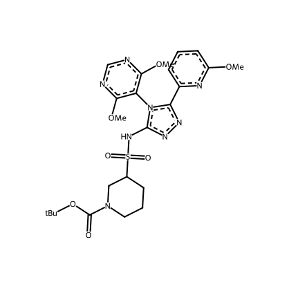 COc1cccc(-c2nnc(NS(=O)(=O)C3CCCN(C(=O)OC(C)(C)C)C3)n2-c2c(OC)ncnc2OC)n1